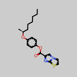 CCCCCC[C@H](C)Oc1ccc(OC(=O)c2cn3ccsc3n2)cc1